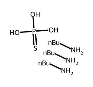 CCCCN.CCCCN.CCCCN.OP(O)(O)=S